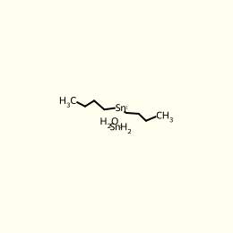 CCC[CH2][Sn][CH2]CCC.O.[SnH2]